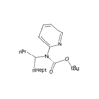 CCCCCCCC(CCC)N(C(=O)OC(C)(C)C)c1ccccn1